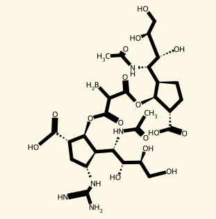 BC(C(=O)O[C@H]1[C@@H]([C@H](NC(C)=O)[C@@H](O)[C@@H](O)CO)CC[C@@H]1C(=O)O)C(=O)O[C@H]1[C@@H]([C@H](NC(C)=O)[C@@H](O)[C@@H](O)CO)[C@H](NC(=N)N)C[C@@H]1C(=O)O